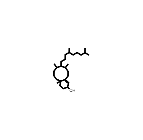 CC(C)CCCC(C)CCCC1C(C)CCCC2(C)CCC(O)C=C2CCC1C